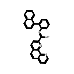 CCCC(=Nc1ccccc1-c1cccc2ccccc12)c1ccc2ccc3cccnc3c2n1